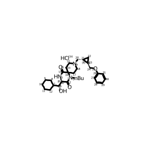 CCCCN1C(=O)[C@@H]([C@H](O)C2CCCCC2)NC(=O)C12CCN(C[C@@H]1C[C@H]1COc1ccccc1)CC2.Cl